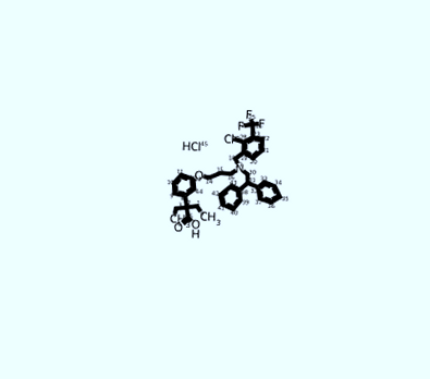 CCC(CC)(C(=O)O)c1cccc(OCCCN(Cc2cccc(C(F)(F)F)c2Cl)CC(c2ccccc2)c2ccccc2)c1.Cl